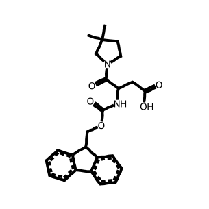 CC1(C)CCN(C(=O)C(CC(=O)O)NC(=O)OCC2c3ccccc3-c3ccccc32)C1